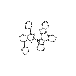 c1ccc(-c2nc(-n3c4ccccc4c4c5ccccc5c5c6ccccc6sc5c43)nc3c(-c4ccccc4)cccc23)cc1